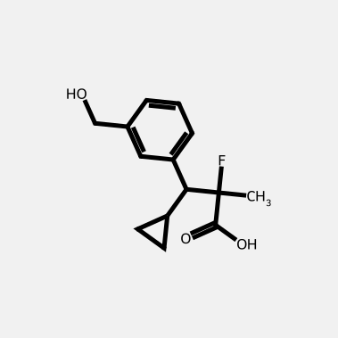 CC(F)(C(=O)O)C(c1cccc(CO)c1)C1CC1